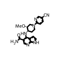 CO[C@@H]1CN(c2ccc(C#N)cn2)CC[C@@H]1Nc1c(C(N)=O)cnc2[nH]ccc12